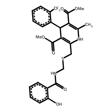 COC(=O)C1=C(C)NC(CSCNC(=O)c2ccccc2O)=C(C(=O)OC)C1c1ccccc1C(F)(F)F